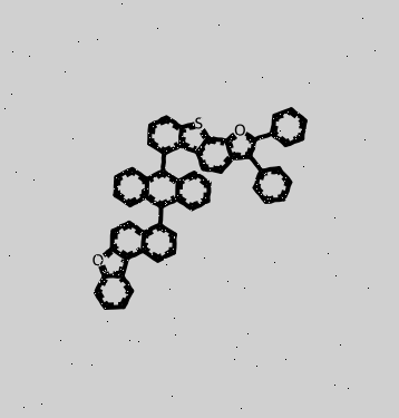 c1ccc(-c2oc3c(ccc4c3sc3cccc(-c5c6ccccc6c(-c6cccc7c6ccc6oc8ccccc8c67)c6ccccc56)c34)c2-c2ccccc2)cc1